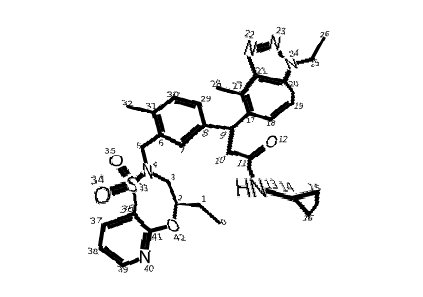 CC[C@@H]1CN(Cc2cc(C(CC(=O)NC3CC3)c3ccc4c(nnn4CC)c3C)ccc2C)S(=O)(=O)c2cccnc2O1